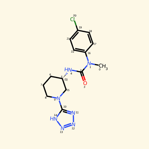 CN(C(=O)N[C@H]1CCCN(c2nnn[nH]2)C1)c1ccc(Cl)cc1